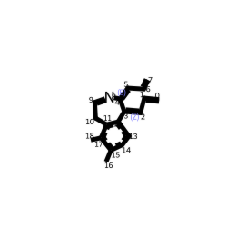 C=C/C=C1\C(=C/C=C)N=CCc2c1ccc(C)c2C